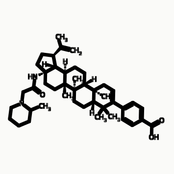 C=C(C)[C@@H]1CC[C@]2(NC(=O)CN3CCCCC3C)CC[C@]3(C)[C@H](CC[C@@H]4[C@@]5(C)CC=C(c6ccc(C(=O)O)cc6)C(C)(C)[C@@H]5CC[C@]43C)[C@@H]12